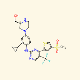 CS(=O)(=O)c1csc(-c2nc(Nc3ccc(N4CCN[C@H](CO)C4)cc3C3CC3)ncc2C(F)(F)F)c1